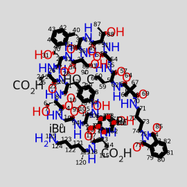 CC[C@H](C)[C@H](NC(=O)[C@H](CO)NC(=O)[C@H](Cc1ccc(O)cc1)NC(=O)[C@H](CC(=O)O)NC(=O)[C@H](CO)NC(=O)[C@@H](NC(=O)[C@H](Cc1ccccc1)NC(=O)[C@@H](NC(=O)CNC(=O)[C@H](CCC(=O)O)NC(=O)C(C)(C)C(=O)NCCCCN1C(=O)c2ccccc2C1=O)[C@@H](C)O)[C@@H](C)O)C(=O)N[C@@H](Cc1ccc(O)cc1)C(=O)N[C@@H](CC(C)C)C(=O)N[C@@H](CC(=O)O)C(=O)N[C@H](C)CCCCN